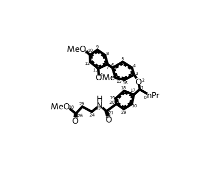 CCCC(Oc1ccc(-c2ccc(OC)cc2OC)cc1)c1ccc(C(=O)NCCC(=O)OC)cc1